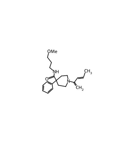 C=C(/C=C/C)N1CCC(C(=O)NCCCOC)(c2ccccc2)CC1